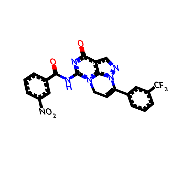 O=C(Nc1nc(=O)c2cnn3c2n1CC=C3c1cccc(C(F)(F)F)c1)c1cccc([N+](=O)[O-])c1